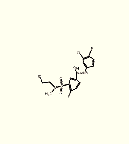 CN(CCO)S(=O)(=O)c1cc(C(O)Nc2ccc(F)c(Cl)c2)ccc1F